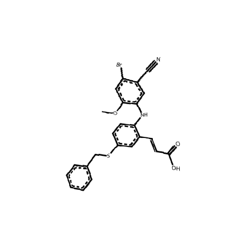 COc1cc(Br)c(C#N)cc1Nc1ccc(SCc2ccccc2)cc1/C=C/C(=O)O